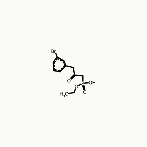 CCOP(=O)(O)CC(=O)Cc1cccc(Br)c1